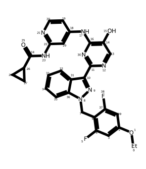 CCOc1cc(F)c(Cn2nc(-c3ncc(O)c(Nc4ccnc(NC(=O)C5CC5)c4)n3)c3ccccc32)c(F)c1